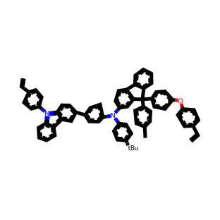 C=Cc1ccc(Oc2ccc(C3(c4ccc(C)cc4)c4ccccc4-c4ccc(N(c5ccc(-c6ccc7c(c6)c6ccccc6n7-c6ccc(C=C)cc6)cc5)c5ccc(C(C)(C)C)cc5)cc43)cc2)cc1